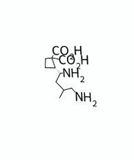 CC(CN)CC(N)[C@@H]1CCC1(C(=O)O)C(=O)O